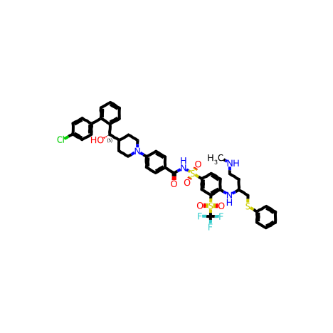 CNCCC(CSc1ccccc1)Nc1ccc(S(=O)(=O)NC(=O)c2ccc(N3CCC([C@H](O)c4ccccc4-c4ccc(Cl)cc4)CC3)cc2)cc1S(=O)(=O)C(F)(F)F